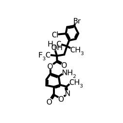 Cc1noc(=O)c2ccc(OC(=O)C(O)(CC(C)(C)c3ccc(Br)cc3Cl)C(F)(F)F)c(N)c12